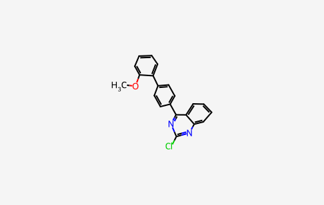 COc1ccccc1-c1ccc(-c2nc(Cl)nc3ccccc23)cc1